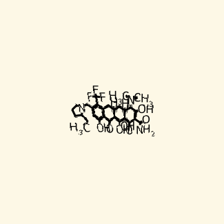 CCC1CCCN1Cc1cc(O)c2c(c1C(F)(F)F)C[C@H]1C[C@H]3[C@H](N(C)C)C(O)=C(C(N)=O)C(=O)[C@@]3(O)C(O)=C1C2=O